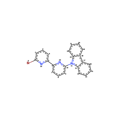 Brc1cccc(-c2cccc(-n3c4ccccc4c4ccccc43)n2)n1